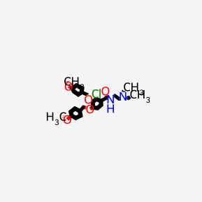 CCN(CC)CCNC(=O)c1ccc(OCc2ccc(OC)cc2)c(OCc2ccc(OC)cc2)c1Cl